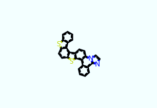 c1ccc2c(c1)sc1ccc3sc4c(ccc5c4c4ccccc4c4nccn54)c3c12